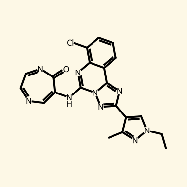 CCn1cc(-c2nc3c4cccc(Cl)c4nc(Nc4cnccnc4=O)n3n2)c(C)n1